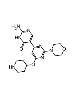 Nc1ncc(-c2cc(OC3CCNCC3)nc(N3CCOCC3)n2)c(=O)[nH]1